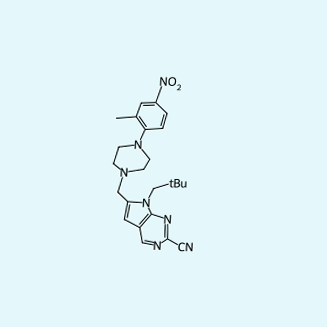 Cc1cc([N+](=O)[O-])ccc1N1CCN(Cc2cc3cnc(C#N)nc3n2CC(C)(C)C)CC1